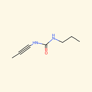 CC#CNC(=O)NCCC